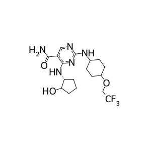 NC(=O)c1cnc(NC2CCC(OCC(F)(F)F)CC2)nc1N[C@@H]1CCCC1O